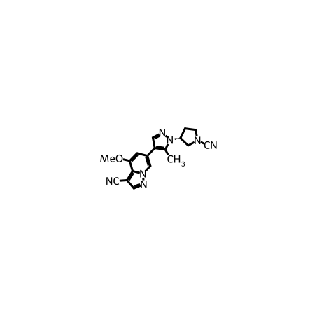 COc1cc(-c2cnn([C@@H]3CCN(C#N)C3)c2C)cn2ncc(C#N)c12